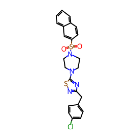 O=S(=O)(c1ccc2ccccc2c1)N1CCN(c2nc(Cc3ccc(Cl)cc3)ns2)CC1